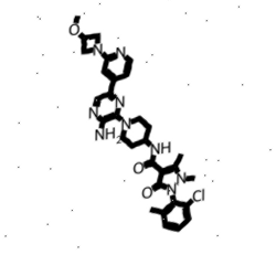 COC1CN(c2cc(-c3cnc(N)c(N4CCC(NC(=O)c5c(C)n(C)n(-c6c(C)cccc6Cl)c5=O)CC4)n3)ccn2)C1